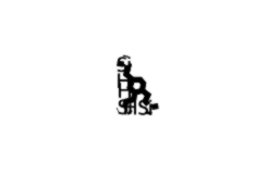 C[SiH](C)CCC1CCC(CC[SiH](C)C)C(CC[SiH](C)C)C1